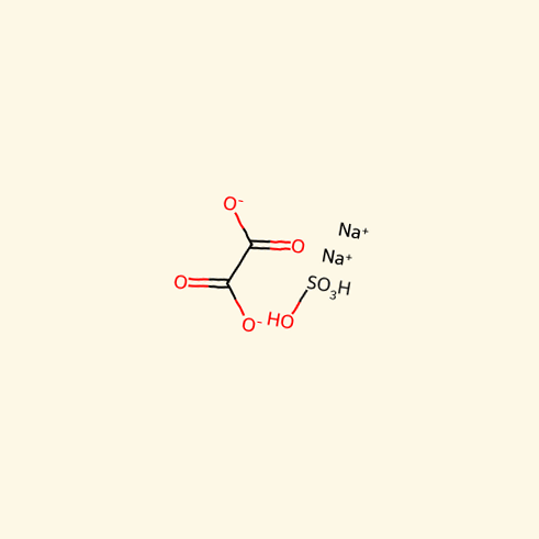 O=C([O-])C(=O)[O-].O=S(=O)(O)O.[Na+].[Na+]